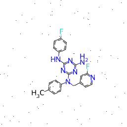 Cc1ccc(N(Cc2ccnc(F)c2)c2nc(N)nc(Nc3ccc(F)cc3)n2)cc1